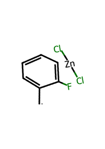 [CH2]c1ccccc1F.[Cl][Zn][Cl]